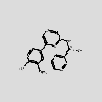 CCC[C@@H](Nc1cncc(-c2ccc(O)c(OC)c2)n1)c1cccnc1